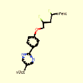 CCCCCCCCc1cnc(-c2ccc(OCC(F)CC(F)CCCCC)cc2)nc1